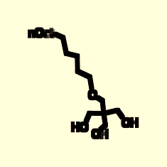 CCCCCCCCCCCCCOCC(CO)(CO)CO